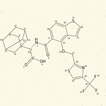 O=C(N[C@H](C(=O)O)C12CC3CC(CC(C3)C1)C2)c1ccc2sccc2c1OCc1nc(C(F)(F)F)cs1